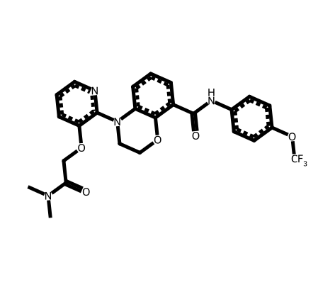 CN(C)C(=O)COc1cccnc1N1CCOc2c(C(=O)Nc3ccc(OC(F)(F)F)cc3)cccc21